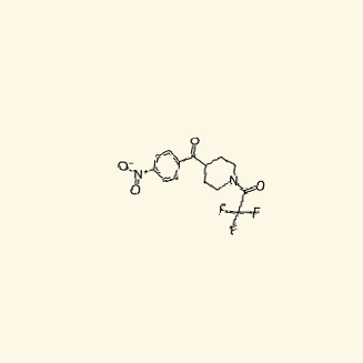 O=C(c1ccc([N+](=O)[O-])cc1)C1CCN(C(=O)C(F)(F)F)CC1